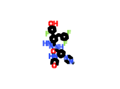 CN1CCN(c2ccc(C(=O)Nc3n[nH]c4cc(-c5ccc(O)cc5F)c(Cc5cc(F)cc(F)c5)cc34)c(NC3CCOCC3)c2)CC1